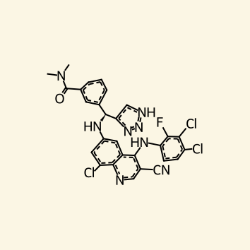 CN(C)C(=O)c1cccc([C@H](Nc2cc(Cl)c3ncc(C#N)c(Nc4ccc(Cl)c(Cl)c4F)c3c2)c2c[nH]nn2)c1